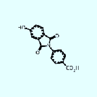 O=C(O)c1ccc(N2C(=O)c3ccc(O)cc3C2=O)cc1